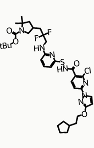 CC(C)(C)OC(=O)N1CC(CC(F)(F)CNc2cccc(SNC(=O)c3ccc(-n4ccc(OCCC5CCCC5)n4)nc3Cl)n2)CC1(C)C